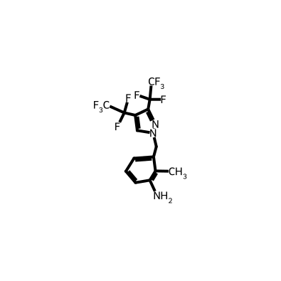 Cc1c(N)cccc1Cn1cc(C(F)(F)C(F)(F)F)c(C(F)(F)C(F)(F)F)n1